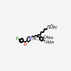 CCCCCCCCCCCCCCCCC(C#N)(CCCN1CCC(C(=O)c2ccc(F)cc2)CC1)c1ccc(OC)c(OC)c1